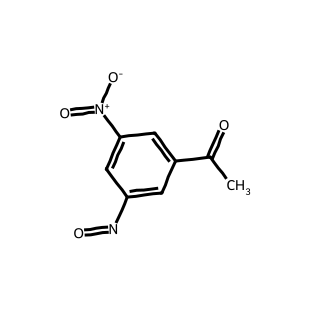 CC(=O)c1cc(N=O)cc([N+](=O)[O-])c1